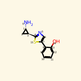 N[C@H]1C[C@@H]1c1ncc(-c2ccccc2O)s1